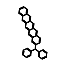 c1ccc(C(c2ccccc2)c2ccc3cc4cc5cc6ccccc6cc5cc4cc3c2)cc1